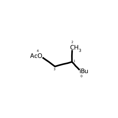 CCC(C)C(C)COC(C)=O